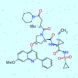 C=C[C@@H]1C[C@]1(NC(=O)[C@H]1C[C@@H](Oc2cc(-c3ccccc3)nc3cc(OC)ccc23)CN1C(=O)[C@@H](CC(=O)N1CCCCC1)C(C)(C)C)C(=O)NS(=O)(=O)C1CC1